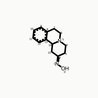 O/N=C1\CCN2CCc3ccccc3C2C1